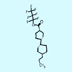 CCC[C@H]1CC[C@H]([C@H]2CC[C@H](C(=O)OC(F)(F)C(F)(F)C(F)(F)F)CC2)CC1